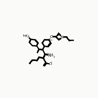 C=C(Cl)C(CCCC)C(N)C(C1C=C[C@@H](OC2CN(CCC)C2)CC1)C(C)C1C=CC(O)CC1